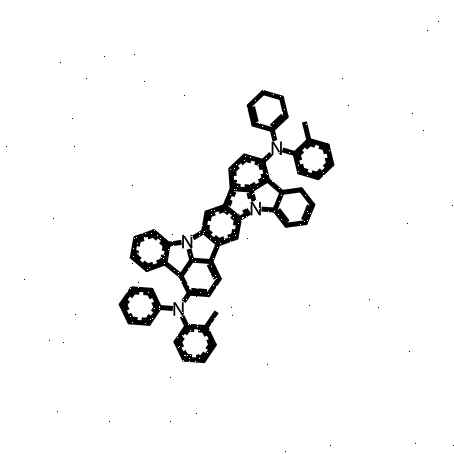 Cc1ccccc1N(C1=CC=C2c3cc4c(cc3N3c5ccccc5C1C23)c1ccc(N(C2=CCCC=C2)c2ccccc2C)c2c1n4C1=CC=CCC12)c1ccccc1